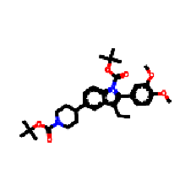 CCc1c(-c2ccc(OC)c(OC)c2)n(C(=O)OC(C)(C)C)c2ccc(C3CCN(C(=O)OC(C)(C)C)CC3)cc12